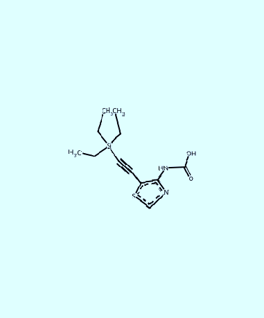 CC[Si](C#Cc1scnc1NC(=O)O)(CC)CC